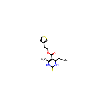 COCC1NC(=S)NC(C)=C1C(=O)OCCc1ccsc1